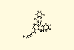 COCCn1cnc2c(c(-c3ccccc3)cn2Cc2ccccc2)c1=N